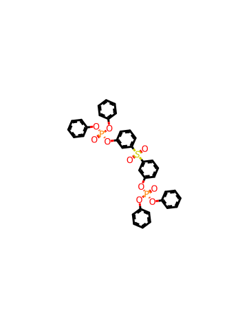 O=P(Oc1ccccc1)(Oc1ccccc1)Oc1cccc(S(=O)(=O)c2cccc(OP(=O)(Oc3ccccc3)Oc3ccccc3)c2)c1